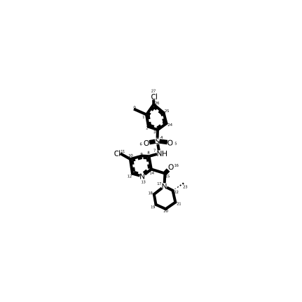 Cc1cc(S(=O)(=O)Nc2cc(Cl)cnc2C(=O)N2CCCC[C@H]2C)ccc1Cl